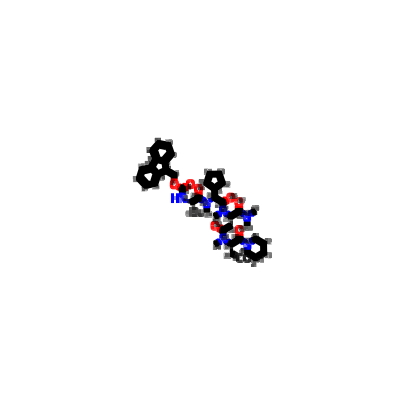 CC[C@H](C)[C@H](NC(=O)OCC1c2ccccc2-c2ccccc21)C(=O)N(C)[C@H](C(=O)N(C)[C@@H](CC(=O)N(C)[C@@H](CC(=O)O)C(=O)N1CCCCC1)C(=O)N(C)C)C1CCCC1